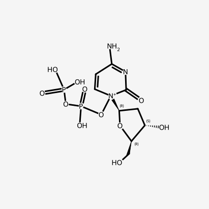 NC1=NC(=O)[N+](OP(=O)(O)OP(=O)(O)O)([C@H]2C[C@H](O)[C@@H](CO)O2)C=C1